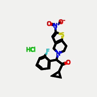 Cl.O=C(C1CC1)C(c1ccccc1F)N1CCc2sc([N+](=O)[O-])cc2C1